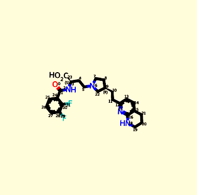 O=C(N[C@@H](CCN1CC[C@@H](CCc2ccc3c(n2)NCCC3)C1)C(=O)O)c1cccc(F)c1F